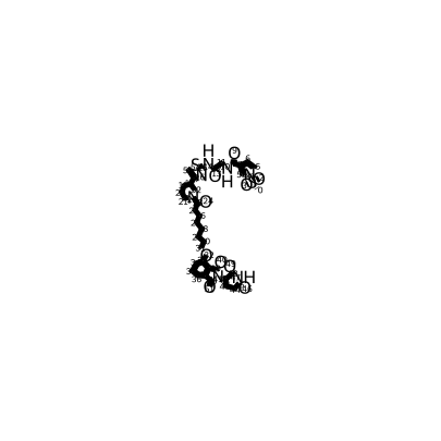 CS(=O)(=O)n1ccc(C(=O)NCC(=O)Nc2nc(C3CCCN(C(=O)CCCCCCCOc4cccc5c4C(=O)N(C4CCC(=O)NC4=O)C5=O)C3)cs2)c1